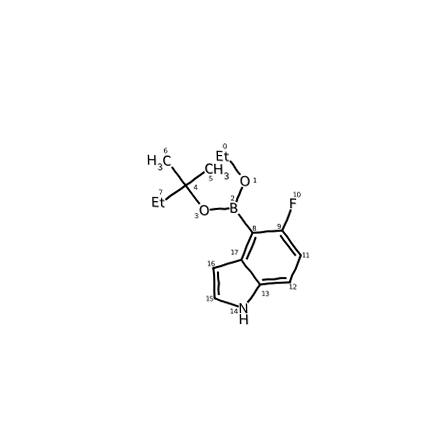 CCOB(OC(C)(C)CC)c1c(F)ccc2[nH]ccc12